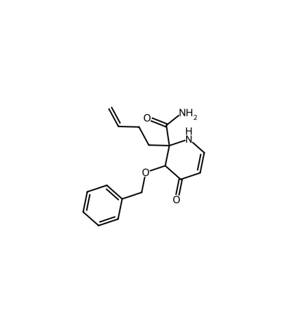 C=CCCC1(C(N)=O)NC=CC(=O)C1OCc1ccccc1